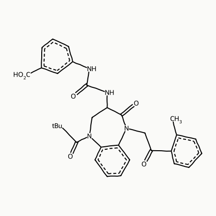 Cc1ccccc1C(=O)CN1C(=O)C(NC(=O)Nc2cccc(C(=O)O)c2)CN(C(=O)C(C)(C)C)c2ccccc21